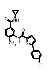 Cc1ccc(C(=O)NC2CC2)cc1NC(=O)c1ccc(-c2ccc(O)cc2)s1